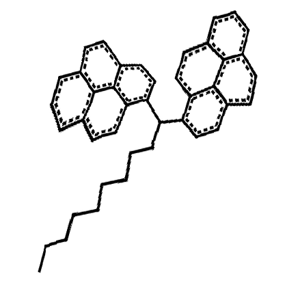 CCCCCCCCCC(c1ccc2ccc3cccc4ccc1c2c34)c1ccc2ccc3cccc4ccc1c2c34